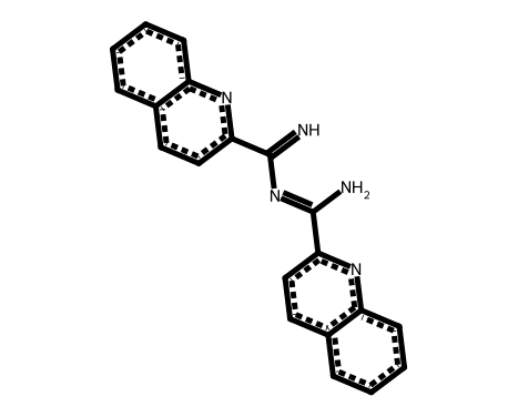 N=C(/N=C(\N)c1ccc2ccccc2n1)c1ccc2ccccc2n1